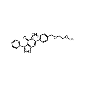 CC(C)OCCOCc1ccc(-c2cc3onc(-c4ccccc4)c3c(=O)n2C)cc1